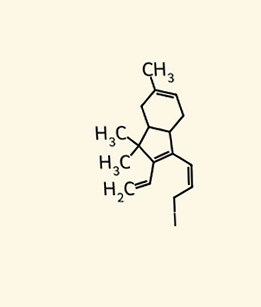 C=CC1=C(/C=C\CI)C2CC=C(C)CC2C1(C)C